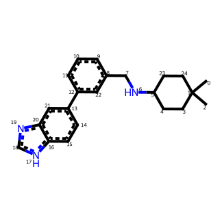 CC1(C)CCC(NCc2cccc(-c3ccc4[nH]cnc4c3)c2)CC1